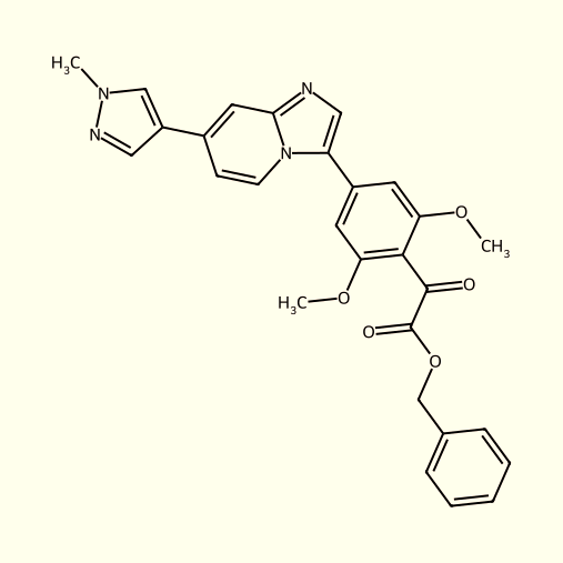 COc1cc(-c2cnc3cc(-c4cnn(C)c4)ccn23)cc(OC)c1C(=O)C(=O)OCc1ccccc1